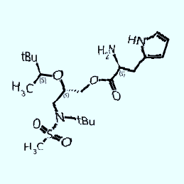 C[C@H](O[C@H](COC(=O)[C@@H](N)Cc1ccc[nH]1)CN(C(C)(C)C)S(C)(=O)=O)C(C)(C)C